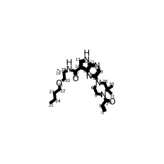 C=CC(=O)N1CCN(c2cnc3[nH]cc(C(=O)N[C@@H](C)COCCCC)c3n2)CC1(C)C